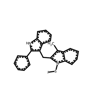 Cc1c(Cc2c(-c3ccccc3)[nH]c3ccccc23)n(SI)c2ccccc12